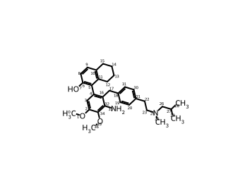 COc1cc(-c2c(O)ccc3c2CCCC3)c(Cc2ccc(CCN(C)CC(C)C)cc2)c(N)c1OC